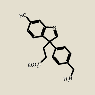 CCOC(=O)CCC1(c2ccc(CN)cc2)C=Nc2cc(O)ccc21